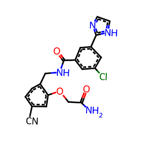 N#Cc1ccc(CNC(=O)c2cc(Cl)cc(-c3ncc[nH]3)c2)c(OCC(N)=O)c1